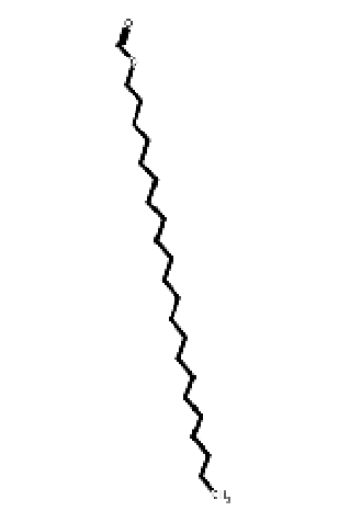 CCCCCCCCCCCCCCCCCCCCCCOC=O